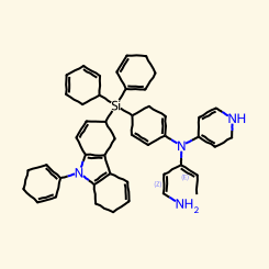 C/C=C(\C=C/N)N(C1=CCNC=C1)C1=CCC([Si](C2=CCCC=C2)(C2C=CC=CC2)C2C=Cc3c(c4c(n3C3=CCCC=C3)CCC=C4)C2)C=C1